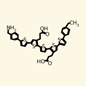 CCc1ccc(-c2ccc(-c3cc(CCC(=O)O)c(-c4ccc(-c5sc(-c6ccc(-c7ccc(CN)cc7)s6)cc5CCC(=O)O)s4)s3)s2)cc1